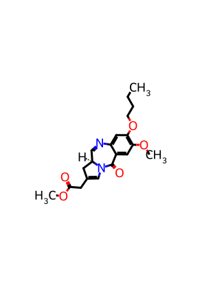 CCCCOc1cc2c(cc1OC)C(=O)N1C=C(CC(=O)OC)C[C@H]1C=N2